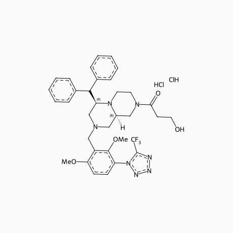 COc1ccc(-n2nnnc2C(F)(F)F)c(OC)c1CN1C[C@@H]2CN(C(=O)CCO)CCN2[C@H](C(c2ccccc2)c2ccccc2)C1.Cl.Cl